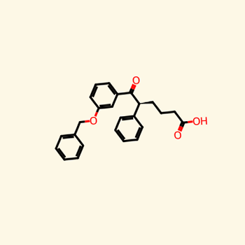 O=C(O)CCC[C@H](C(=O)c1cccc(OCc2ccccc2)c1)c1ccccc1